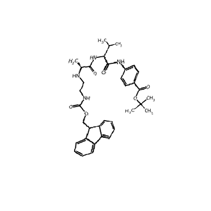 CC(C)C(NC(=O)[C@H](C)NCCNC(=O)OCC1c2ccccc2-c2ccccc21)C(=O)Nc1ccc(C(=O)OC(C)(C)C)cc1